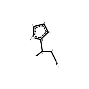 CC(CF)c1ccco1